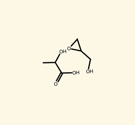 CC(O)C(=O)O.OCC1CO1